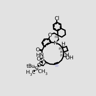 CC(C)(C)[Si](C)(C)OC[C@@H]1C/C=C\C[C@H](O)[C@@H]2CC[C@H]2CN2C[C@@]3(CCCc4cc(Cl)ccc43)COc3ccc(cc32)C(=O)NS1(=O)=O